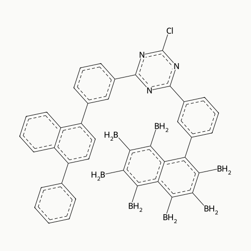 Bc1c(B)c(B)c2c(-c3cccc(-c4nc(Cl)nc(-c5cccc(-c6ccc(-c7ccccc7)c7ccccc67)c5)n4)c3)c(B)c(B)c(B)c2c1B